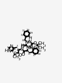 COC(=O)[C@H](Cc1c[nH]cn1)NC(=O)[C@H](Cc1ccccc1)NC(=O)N(Cc1ccccc1)NC(=O)OC(C)(C)C